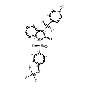 O=c1n(S(=O)(=O)c2ccc(Cl)cc2)c2ccccc2n1S(=O)(=O)c1ccc(OC(F)(F)F)cc1